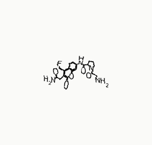 NCC(=O)N1CCCC1C(=O)Nc1ccc2c(CF)c(CC(N)=O)c(=O)oc2c1